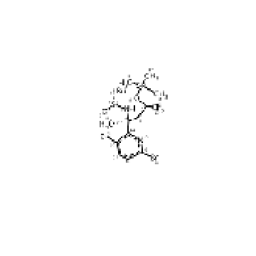 CC(C)(C)[S@@+]([O-])N[C@@](C)(C[C@@H](O[Si](C)(C)C)C(F)(F)F)c1nc(Br)ccc1Cl